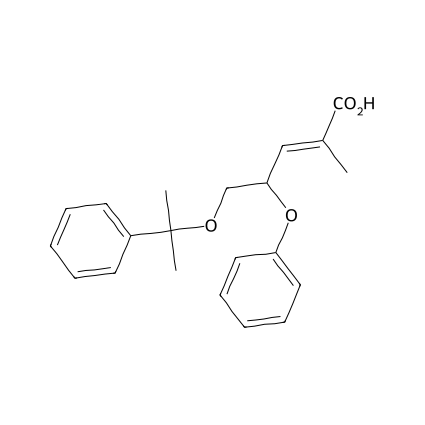 CC(=CC(COC(C)(C)c1ccccc1)Oc1ccccc1)C(=O)O